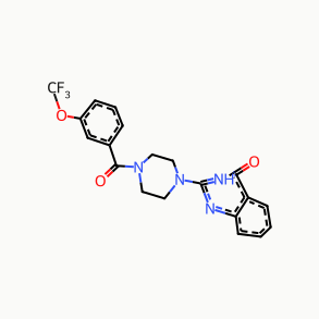 O=C(c1cccc(OC(F)(F)F)c1)N1CCN(c2nc3ccccc3c(=O)[nH]2)CC1